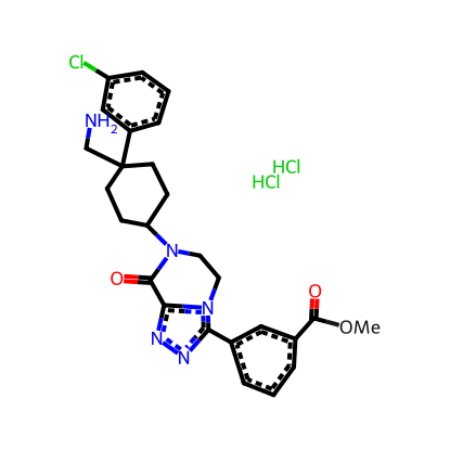 COC(=O)c1cccc(-c2nnc3n2CCN(C2CCC(CN)(c4cccc(Cl)c4)CC2)C3=O)c1.Cl.Cl